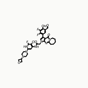 O=Cc1cc(-c2cn(CC(=O)NC3=C(Cl)C(F)NC(N4CCN(C5COC5)CC4)=C3)c3nc4n(c(=O)c23)CCCCC4)c(F)c(F)c1O